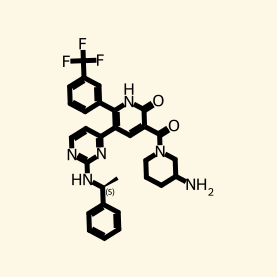 C[C@H](Nc1nccc(-c2cc(C(=O)N3CCCC(N)C3)c(=O)[nH]c2-c2cccc(C(F)(F)F)c2)n1)c1ccccc1